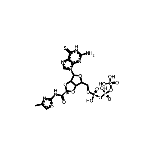 Cc1csc(NC(=O)[C@@H]2OC3C(COP(=O)(O)OP(=O)(O)OP(=O)(O)O)OC(n4cnc5c(=S)[nH]c(N)nc54)C3O2)n1